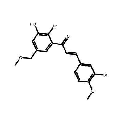 COCc1cc(O)c(Br)c(C(=O)/C=C/c2ccc(OC)c(Br)c2)c1